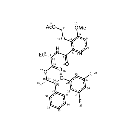 CC[C@H](NC(=O)c1nccc(OC)c1OCOC(C)=O)C(=O)O[C@@H](C)[C@H](Oc1cc(F)cc(Cl)c1)c1ccccc1